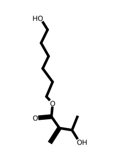 C=C(C(=O)OCCCCCCO)C(C)O